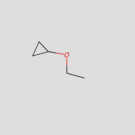 CCO[C]1CC1